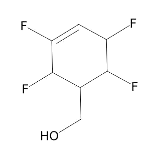 OCC1C(F)C(F)=CC(F)C1F